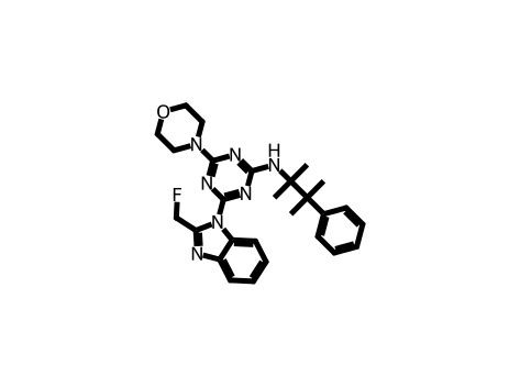 CC(C)(Nc1nc(N2CCOCC2)nc(-n2c(CF)nc3ccccc32)n1)C(C)(C)c1ccccc1